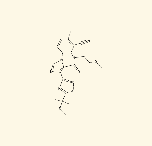 COCCn1c(=O)c2c(-c3noc(C(C)(C)OC)n3)ncn2c2ccc(F)c(C#N)c21